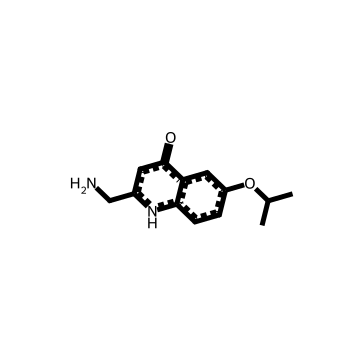 CC(C)Oc1ccc2[nH]c(CN)cc(=O)c2c1